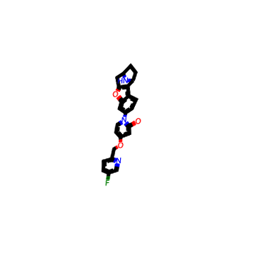 O=c1cc(OCc2ccc(F)cn2)ccn1-c1ccc2c3c(oc2c1)CC1CCC3N1